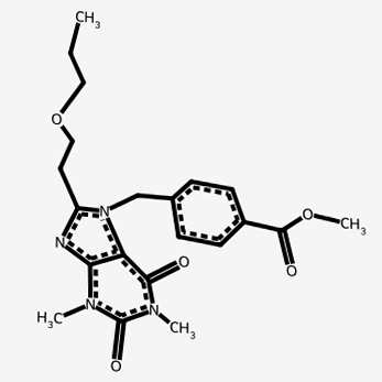 CCCOCCc1nc2c(c(=O)n(C)c(=O)n2C)n1Cc1ccc(C(=O)OC)cc1